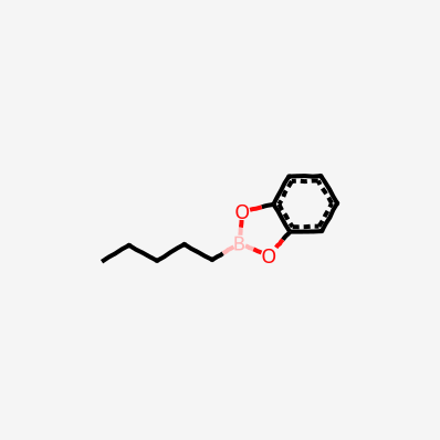 CCCCCB1Oc2ccccc2O1